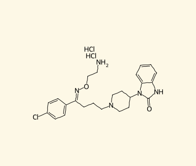 Cl.Cl.NCCON=C(CCCN1CCC(n2c(=O)[nH]c3ccccc32)CC1)c1ccc(Cl)cc1